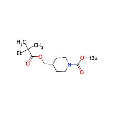 CCC(C)(C)C(=O)OCC1CCN(C(=O)OC(C)(C)C)CC1